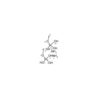 N.N.O[Si](O)(O)OF.O[Si](O)(O)OF